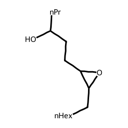 CCCCCCCC1OC1CCC(O)CCC